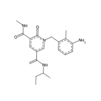 C=C(NC(C)CC)c1cc(C(=O)NC)c(=O)n(Cc2cccc(N)c2C)c1